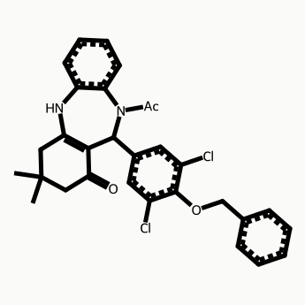 CC(=O)N1c2ccccc2NC2=C(C(=O)CC(C)(C)C2)C1c1cc(Cl)c(OCc2ccccc2)c(Cl)c1